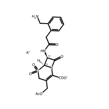 CC(=O)OCC1=C(C(=O)[O-])N2C(=O)[C@H](NC(=O)Cc3ccccc3CN)[C@@H]2S(=O)(=O)C1.[K+]